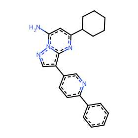 Nc1cc(C2CCCCC2)nc2c(-c3ccc(-c4ccccc4)nc3)cnn12